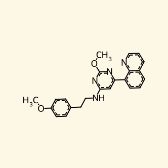 COc1ccc(CCNc2cc(-c3cccc4cccnc34)nc(OC)n2)cc1